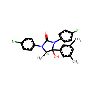 Cc1cc(C)cc(C2(O)[C@@H](C)N(c3ccc(Br)cc3)C(=O)N2c2ccc(Br)cc2)c1